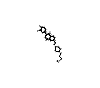 CCCC[C@H]1CC[C@H](CCc2ccc3c(F)c(-c4ccc(F)c(F)c4)ccc3c2)CC1